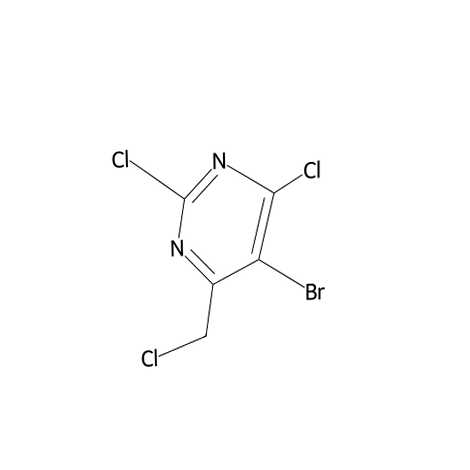 ClCc1nc(Cl)nc(Cl)c1Br